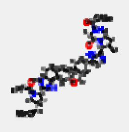 C=C1C[C@H](C)N(C(=O)[C@H](C)NC(=O)OC)[C@@H]1c1ncc(-c2ccc3c(c2)COc2cc4c(ccc5nc([C@@H]6C[C@H](COC)CN6C(=O)CCC)[nH]c54)cc2-3)[nH]1